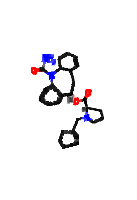 NC(=O)N1c2ccccc2[C@@H](OC(=O)[C@H]2CCCN2Cc2ccccc2)CC2C=CC=CC21